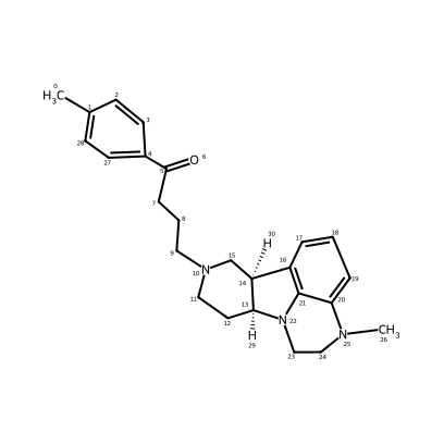 Cc1ccc(C(=O)CCCN2CC[C@H]3[C@@H](C2)c2cccc4c2N3CCN4C)cc1